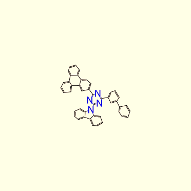 c1ccc(-c2cccc(-c3nc(-c4ccc5c6ccccc6c6ccccc6c5c4)nc(-n4c5ccccc5c5ccccc54)n3)c2)cc1